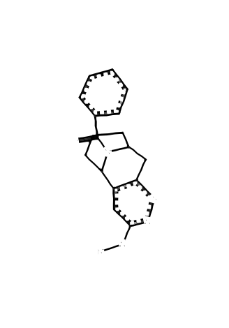 NNc1cc2c(nn1)CC1CCCC2N1C(=O)c1ccccc1